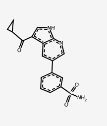 NS(=O)(=O)c1cccc(-c2cnc3[nH]cc(C(=O)C4CC4)c3c2)c1